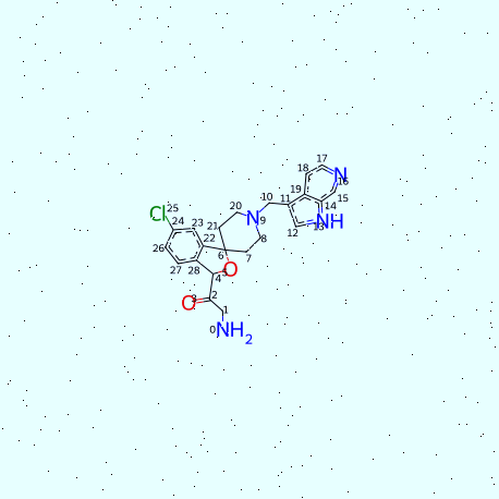 NCC(=O)C1OC2(CCN(Cc3c[nH]c4cnccc34)CC2)c2cc(Cl)ccc21